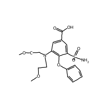 COCCN(CCOC)c1cc(C(=O)O)cc(S(N)(=O)=O)c1Oc1ccccc1